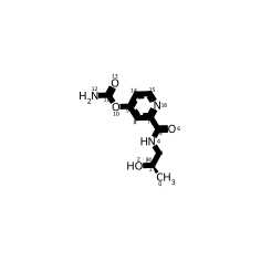 C[C@@H](O)CNC(=O)c1cc(OC(N)=O)ccn1